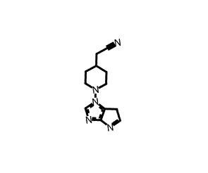 N#CCC1CCN(n2cnc3c2CC=N3)CC1